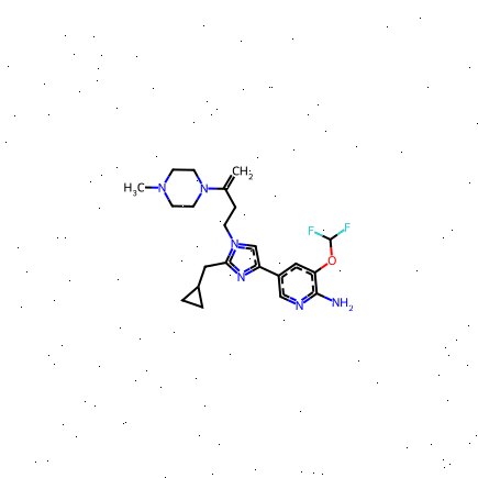 C=C(CCn1cc(-c2cnc(N)c(OC(F)F)c2)nc1CC1CC1)N1CCN(C)CC1